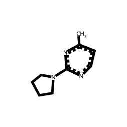 Cc1ccnc(N2[CH]CCC2)n1